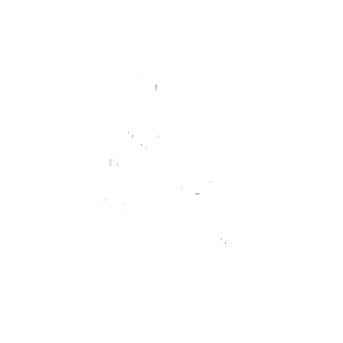 Cc1cccc(C)c1-c1cc2nc(n1)N[S+]([O-])c1cccc(c1)CCC([C@H]1C[C@@H](N3CCOCC3)C1)[C@H](CC(C)(C)C)CO2